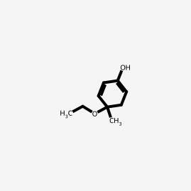 CCOC1(C)C=CC(O)=CC1